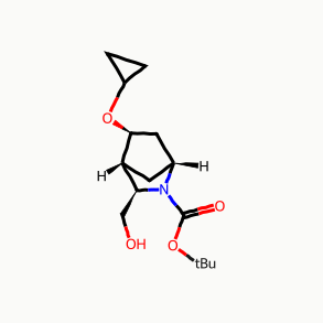 CC(C)(C)OC(=O)N1[C@@H]2C[C@@H]([C@@H](OC3CC3)C2)[C@@H]1CO